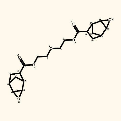 O=C(OCCOCCOC(=O)C1CC2CC1C1OC21)C1CC2CC1C1OC21